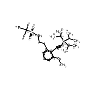 COc1cccc(CCNS(=O)(=O)C(F)(F)F)c1C#C[Si](C(C)C)(C(C)C)C(C)C